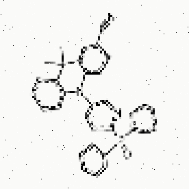 CC1(C)c2ccccc2N(c2ccc(P(=O)(c3ccccc3)c3ccccc3)nc2)c2ccc(C#N)cc21